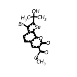 COC(=O)c1cc2ccc3c(Br)c(C(C)(C)O)[se]c3c2oc1=O